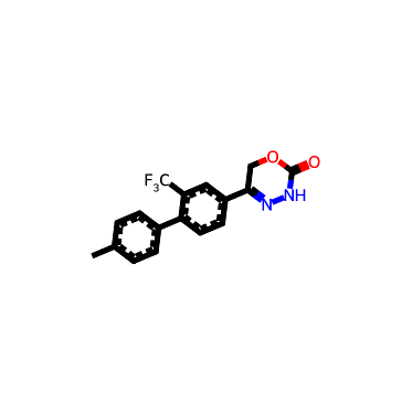 Cc1ccc(-c2ccc(C3=NNC(=O)OC3)cc2C(F)(F)F)cc1